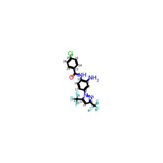 Nc1cc(-n2nc(C(F)(F)F)cc2C(F)(F)F)ccc1NC(=O)c1ccc(Cl)cc1